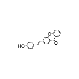 O=c1c2ccccc2oc2cc(/C=C/c3ccc(O)cc3)ccc12